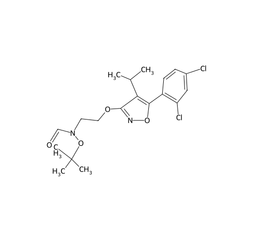 CC(C)c1c(OCCN(C=O)OC(C)(C)C)noc1-c1ccc(Cl)cc1Cl